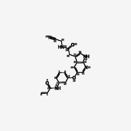 C=CC(=O)Nc1cccc(Oc2cnc3[nH]cc(CC(=O)NCC#N)c3c2)c1